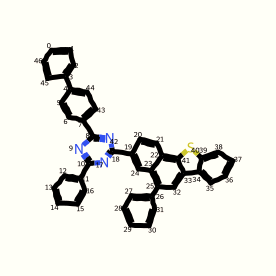 c1ccc(-c2ccc(-c3nc(-c4ccccc4)nc(-c4ccc5c(c4)c(-c4ccccc4)cc4c6ccccc6sc54)n3)cc2)cc1